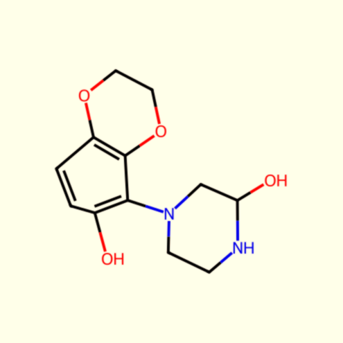 Oc1ccc2c(c1N1CCNC(O)C1)OCCO2